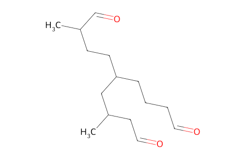 CC(C=O)CCC(CCCC=O)CC(C)CC=O